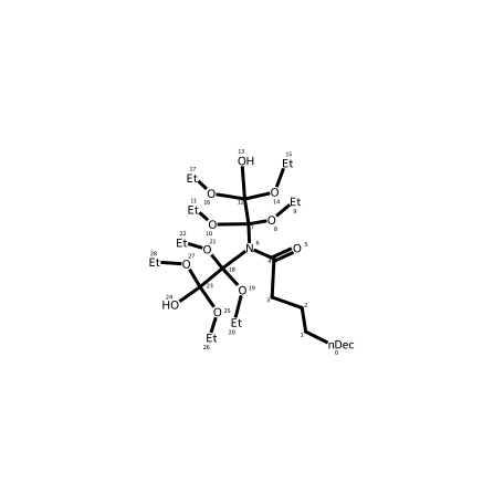 CCCCCCCCCCCCCC(=O)N(C(OCC)(OCC)C(O)(OCC)OCC)C(OCC)(OCC)C(O)(OCC)OCC